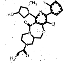 C=CC(=O)N1CCN2C(=O)c3c(N4CC(O)C[C@@H]4C)nc(-c4ccccc4F)c(Cl)c3OCC2C1